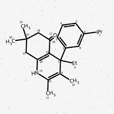 CCC1(c2cccc(C(C)C)c2)C(C)=C(C)NC2=C1C(=O)CC(C)(C)C2